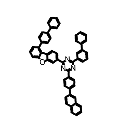 c1ccc(-c2ccc(-c3cccc4oc5cc(-c6nc(-c7ccc(-c8ccc9ccccc9c8)cc7)nc(-c7cccc(-c8ccccc8)c7)n6)ccc5c34)cc2)cc1